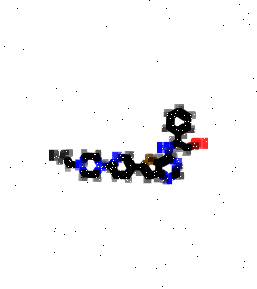 CCN1CCN(c2ccc(-c3cc4ncnc(N[C@H](CO)c5ccccc5)c4s3)cn2)CC1